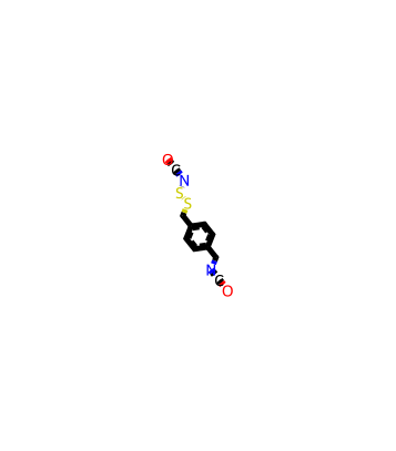 O=C=NCc1ccc(CSSN=C=O)cc1